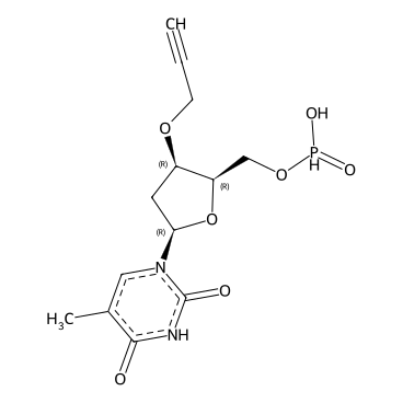 C#CCO[C@@H]1C[C@H](n2cc(C)c(=O)[nH]c2=O)O[C@@H]1CO[PH](=O)O